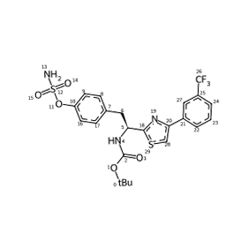 CC(C)(C)OC(=O)N[C@@H](Cc1ccc(OS(N)(=O)=O)cc1)c1nc(-c2cccc(C(F)(F)F)c2)cs1